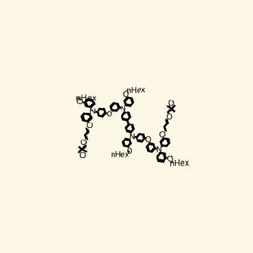 CCCCCCOc1cccc(N(c2ccc(Oc3cccc(N(c4cccc(OCCCCCC)c4)c4cccc(OCCCCOCC5(C)COC5)c4)c3)cc2)c2ccc(-c3ccc(N(c4cccc(OCCCCCC)c4)c4cccc(Oc5ccc(N(c6cccc(OCCCCCC)c6)c6cccc(OCCCCOCC7(C)COC7)c6)cc5)c4)cc3)cc2)c1